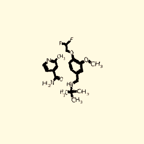 COc1cc(CNC(C)(C)C)ccc1OCC(F)F.Cc1cc(C(N)=O)ccn1